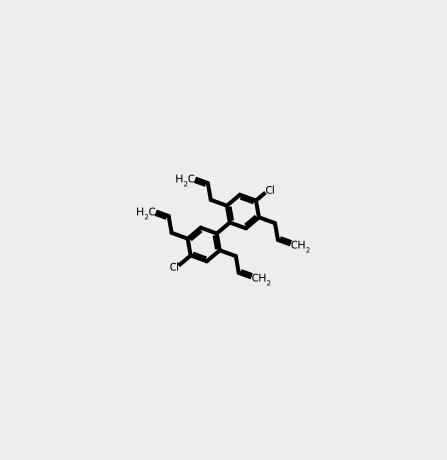 C=CCc1cc(-c2cc(CC=C)c(Cl)cc2CC=C)c(CC=C)cc1Cl